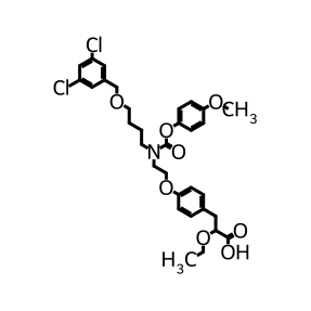 CCOC(Cc1ccc(OCCN(CCCCOCc2cc(Cl)cc(Cl)c2)C(=O)Oc2ccc(OC)cc2)cc1)C(=O)O